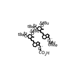 C=C1C(=CC=C2CCC[C@]3(C)C([C@H](C)OCC(=O)O)=CCC23)C[C@@H](O[Si](C)(C)C(C)(C)C)C[C@@H]1O[Si](C)(C)C(C)(C)C.C=C1C(=CC=C2CCC[C@]3(C)C([C@H](C)ON(OC)C(C)=O)=CCC23)C[C@@H](O[Si](C)(C)C(C)(C)C)C[C@@H]1O[Si](C)(C)C(C)(C)C